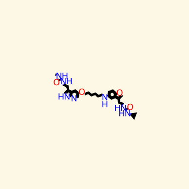 CNC(=O)NCCc1c[nH]c2ncc(OCCCCCCNc3ccc4occ(CCNC(=O)NC5CC5)c4c3)cc12